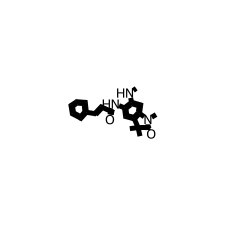 CNc1cc2c(cc1NC(=O)C=Cc1ccccc1)C(C)(C)C(=O)N2C